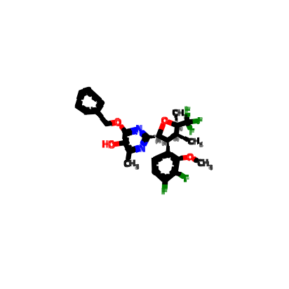 COc1c([C@H]2[C@H](c3nc(C)c(O)c(OCc4ccccc4)n3)O[C@@](C)(C(F)(F)F)[C@H]2C)ccc(F)c1F